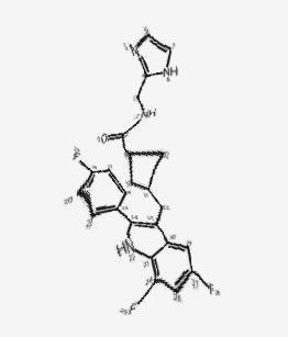 O=C(NCc1ncc[nH]1)C1CC(Cc2c(-c3ccc(F)cc3)[nH]c3c(F)cc(F)cc23)C1